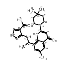 Cc1cc(C(C)Nc2n[nH]cc2C(=O)O)c2oc(N3CCC(C)(C)CC3)cc(=O)c2c1